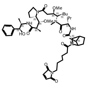 CC[C@H](C)[C@@H]([C@@H](CC(=O)N1CCC[C@H]1[C@H](OC)[C@@H](C)C(=O)N[C@H](C)[C@@H](O)c1ccccc1)OC)N(C)C(=O)[C@@H](NC(=O)[C@@H]1C2CCC([C@H]2C)N1C(=O)CCCCCN1C(=O)C=CC1=O)C(C)C